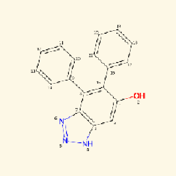 Oc1cc2[nH]nnc2c(-c2ccccc2)c1-c1ccccc1